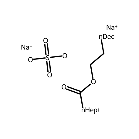 CCCCCCCCCCCCOC(=O)CCCCCCC.O=S(=O)([O-])[O-].[Na+].[Na+]